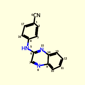 N#Cc1ccc(Nc2cnc3ccccc3n2)cc1